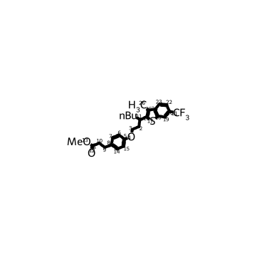 CCCCC(CCOc1ccc(CCC(=O)OC)cc1)c1sc2cc(C(F)(F)F)ccc2c1C